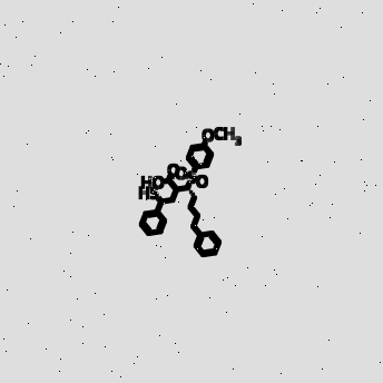 COc1ccc(S(=O)(=O)[C@H](CCCCc2ccccc2)C(CC(S)c2ccccc2)C(=O)O)cc1